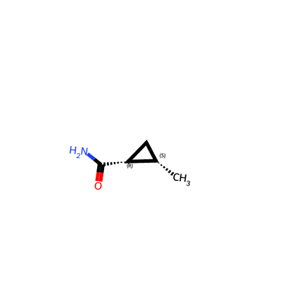 C[C@H]1C[C@H]1C(N)=O